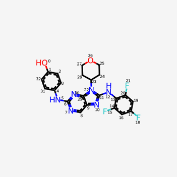 Oc1ccc(Nc2ncc3nc(Nc4c(F)cc(F)cc4F)n(C4CCOCC4)c3n2)cc1